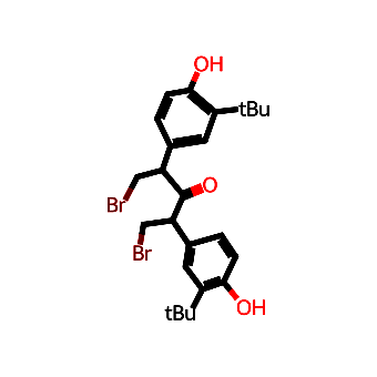 CC(C)(C)c1cc(C(CBr)C(=O)C(CBr)c2ccc(O)c(C(C)(C)C)c2)ccc1O